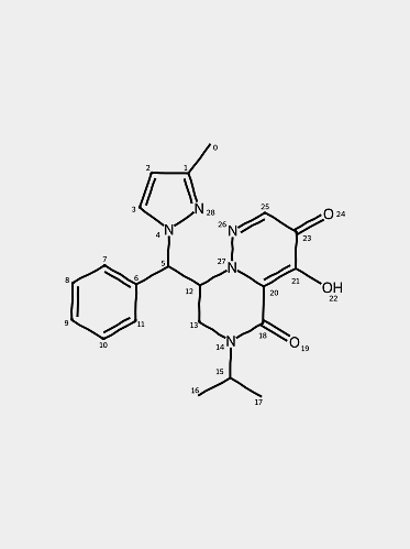 Cc1ccn(C(c2ccccc2)C2CN(C(C)C)C(=O)c3c(O)c(=O)cnn32)n1